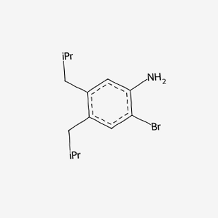 CC(C)Cc1cc(N)c(Br)cc1CC(C)C